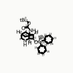 CC(C)(C)OC(=O)NC12C[C@@H]3CN[C@@H]1[C@H](O[Si](c1ccccc1)(c1ccccc1)C(C)(C)C)[C@H]2C3